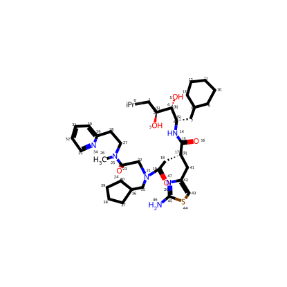 CC(C)C[C@H](O)[C@H](O)[C@H](CC1CCCCC1)NC(=O)[C@@H](CC(=O)N(CC(=O)N(C)CCc1ccccn1)CC1CCCC1)Cc1csc(N)n1